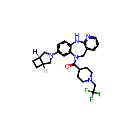 O=C(C1CCN(CC(F)(F)F)CC1)N1Cc2cccnc2Nc2ccc(N3C[C@@H]4CC[C@H]4C3)cc21